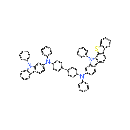 c1ccc(N(c2ccc(-c3ccc(N(c4ccccc4)c4ccc5c6ccc7c8ccccc8sc7c6n(-c6ccccc6)c5c4)cc3)cc2)c2ccc3c4ccccc4n(-c4ccccc4)c3c2)cc1